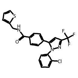 O=C(NCc1cccs1)c1ccc(-c2cc(C(F)(F)F)nn2-c2ccccc2Cl)cc1